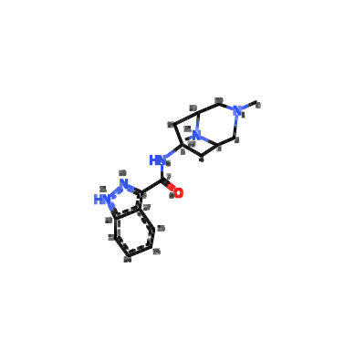 CN1CC2CC(NC(=O)c3n[nH]c4ccccc34)CC(C1)N2C